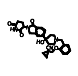 N#CC1(COc2ccccc2CN2CCC(O)(c3ccc4c(c3)CN(C3CCC(=O)NC3=O)C4=O)CC2)CC1